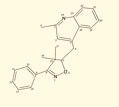 Cc1cc(CC2ON=C(c3ccccc3)C2(C)C)c2ccccc2n1